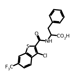 O=C(NC(Cc1ccccc1)C(=O)O)c1sc2cc(C(F)(F)F)ccc2c1Cl